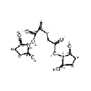 C=C(CCC(=O)ON1C(=O)CCC1=O)C(=O)ON1C(=O)CCC1=O